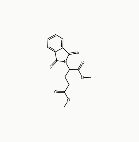 COC(=O)CCC(C(=O)OC)N1C(=S)c2ccccc2C1=S